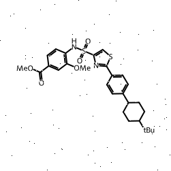 COC(=O)c1ccc(NS(=O)(=O)c2csc(-c3ccc(C4CCC(C(C)(C)C)CC4)cc3)n2)c(OC)c1